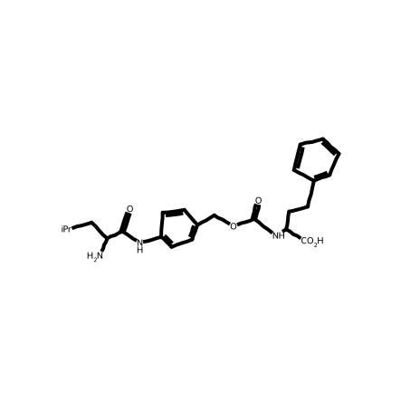 CC(C)CC(N)C(=O)Nc1ccc(COC(=O)NC(CCc2ccccc2)C(=O)O)cc1